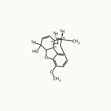 [2H]C1(O)C=C[C@]2([2H])[C@@]34CCN(C)[C@]2([2H])Cc2ccc(OC)c(c23)OC14